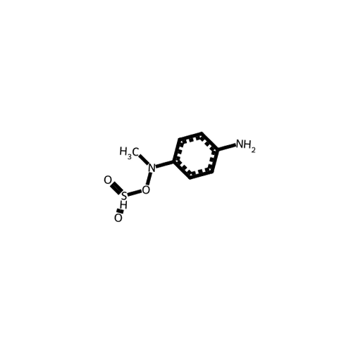 CN(O[SH](=O)=O)c1ccc(N)cc1